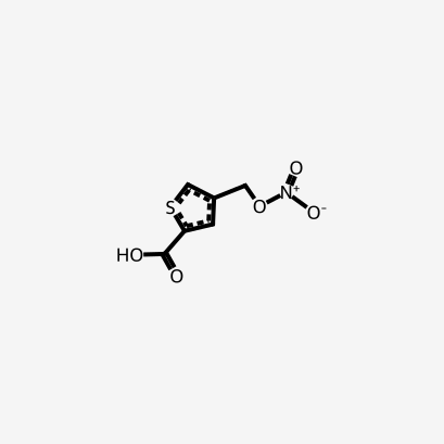 O=C(O)c1cc(CO[N+](=O)[O-])cs1